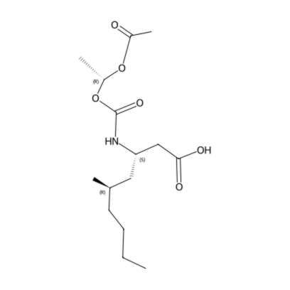 CCCC[C@@H](C)C[C@@H](CC(=O)O)NC(=O)O[C@H](C)OC(C)=O